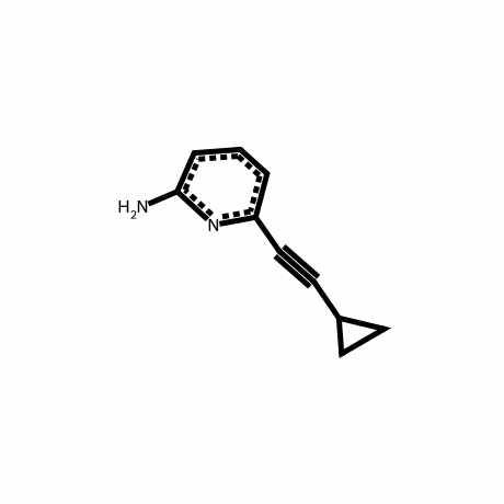 Nc1cccc(C#CC2CC2)n1